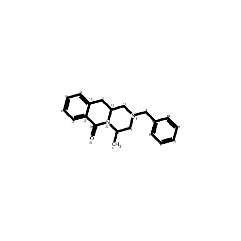 CC1CN(Cc2ccccc2)CC2Cc3ccccc3C(=O)N12